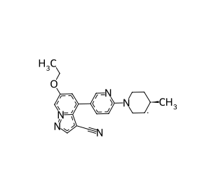 CCOc1cc(-c2ccc(N3C[CH][C@H](C)CC3)nc2)c2c(C#N)cnn2c1